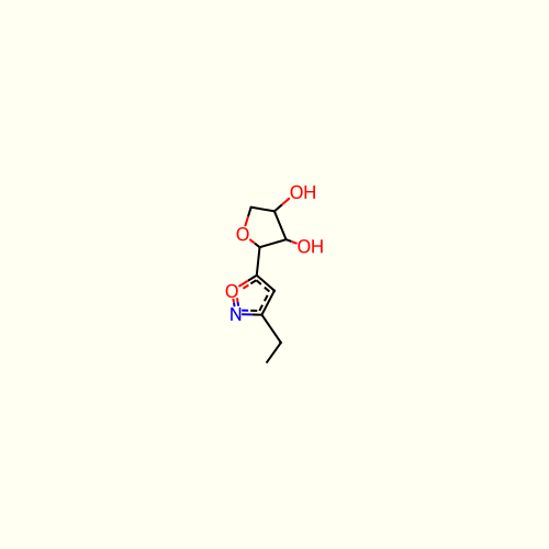 CCc1cc(C2OCC(O)C2O)on1